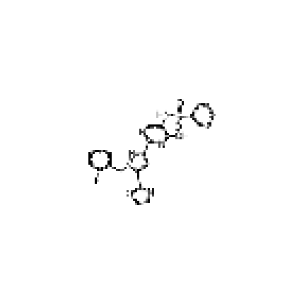 O=S(=O)(Nc1cnc(-c2cc(-c3ncco3)n(Cc3ccccc3F)n2)nc1O)c1ccccc1